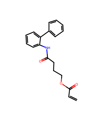 C=CC(=O)OCCCC(=O)Nc1ccccc1-c1ccccc1